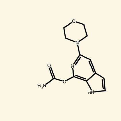 NC(=O)Oc1nc(N2CCOCC2)cc2cc[nH]c12